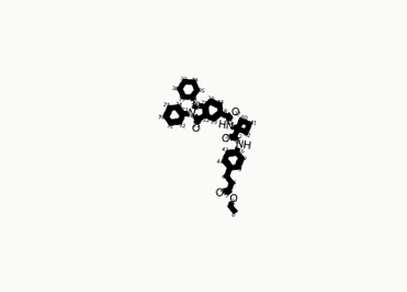 CCOC(=O)CCc1ccc(NC(=O)C2(NC(=O)c3ccc4c(c3)c(=O)n(-c3ccccc3)n4C3CCCCC3)CCC2)cc1